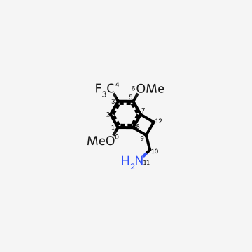 COc1cc(C(F)(F)F)c(OC)c2c1C(CN)C2